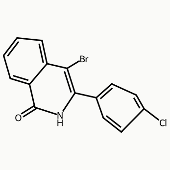 O=c1[nH]c(-c2ccc(Cl)cc2)c(Br)c2ccccc12